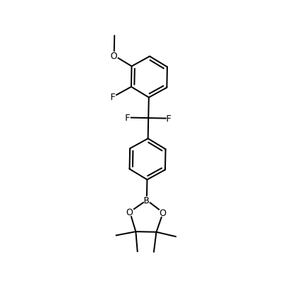 COc1cccc(C(F)(F)c2ccc(B3OC(C)(C)C(C)(C)O3)cc2)c1F